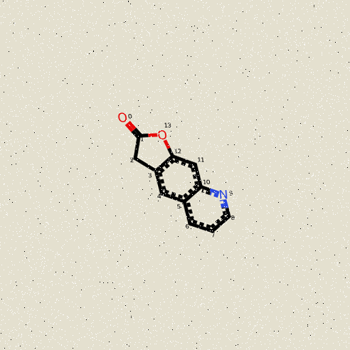 O=C1Cc2cc3cccnc3cc2O1